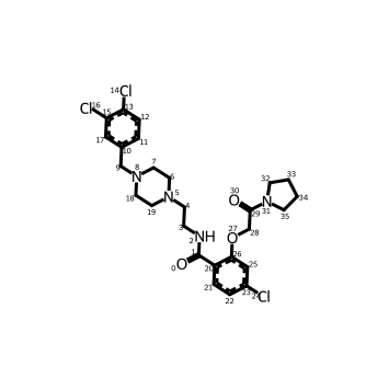 O=C(NCCN1CCN(Cc2ccc(Cl)c(Cl)c2)CC1)c1ccc(Cl)cc1OCC(=O)N1CCCC1